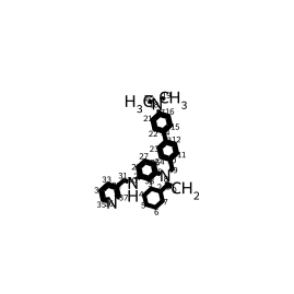 C=C(C1CCCCC1)N(Cc1ccc(-c2ccc(N(C)C)cc2)cc1)c1cccc(NCc2cccnc2)c1